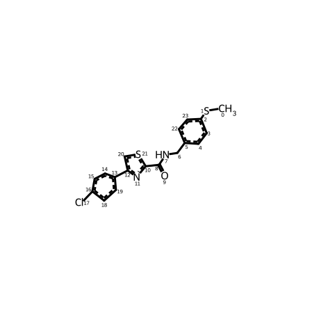 CSc1ccc(CNC(=O)c2nc(-c3ccc(Cl)cc3)cs2)cc1